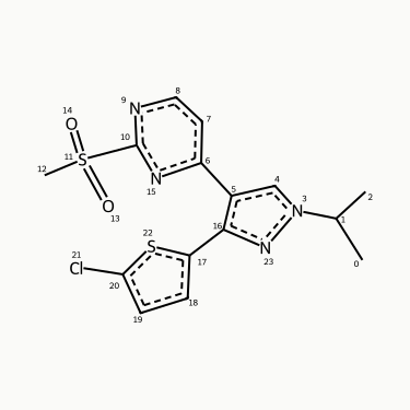 CC(C)n1cc(-c2ccnc(S(C)(=O)=O)n2)c(-c2ccc(Cl)s2)n1